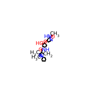 C=C1C(C(=O)Nc2ccc(Oc3ccnc(NC(C)=O)c3)c(O)c2)=C(C)N(C)N1c1ccccc1